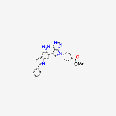 COC(=O)C1CCC(n2cc(-c3ccc4ccc(-c5ccccc5)nc4c3)c3c(N)ncnc32)CC1